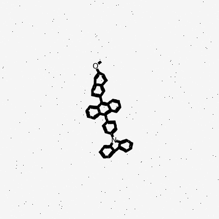 COc1ccc2cc(-c3c4ccccc4c(-c4ccc(-n5c6ccccc6c6ccccc65)cc4)c4ccccc34)ccc2c1